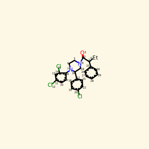 CCC(C(=O)N1CCN(c2ccc(Cl)cc2Cl)C(c2ccc(Cl)cc2)C1)c1ccccc1